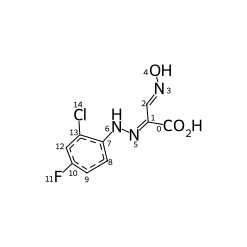 O=C(O)C(/C=N/O)=N/Nc1ccc(F)cc1Cl